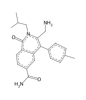 Cc1ccc(-c2c(CN)n(CC(C)C)c(=O)c3ccc(C(N)=O)cc23)cc1